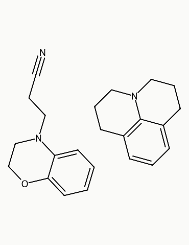 N#CCCN1CCOc2ccccc21.c1cc2c3c(c1)CCCN3CCC2